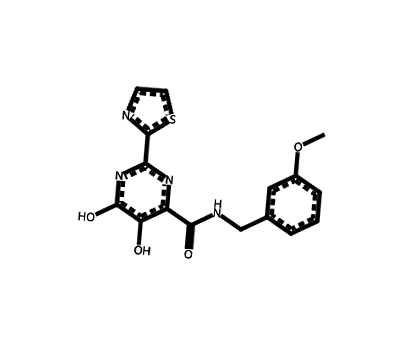 COc1cccc(CNC(=O)c2nc(-c3nccs3)nc(O)c2O)c1